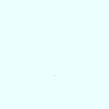 NC(C1CCC(=O)CC1)S(=O)(=O)c1ccc(Cl)cc1